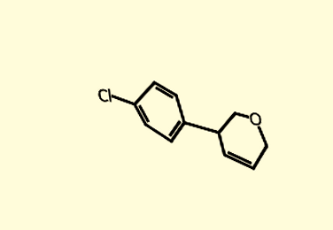 Clc1ccc(C2C=CCOC2)cc1